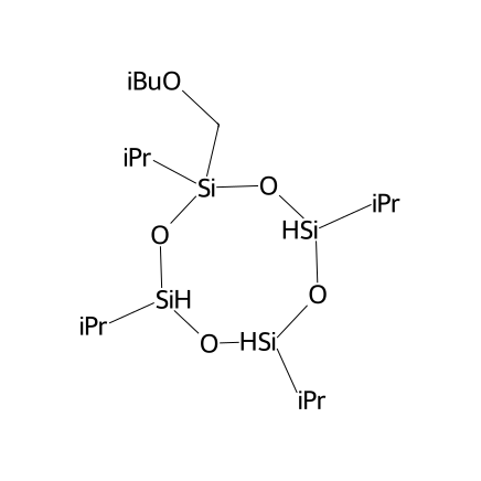 CC(C)COC[Si]1(C(C)C)O[SiH](C(C)C)O[SiH](C(C)C)O[SiH](C(C)C)O1